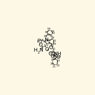 CC(C)c1c(C(=O)C(N)=O)c2c(OCC(=O)NS(=O)(=O)c3ccccc3)cccc2n1Cc1ccccc1